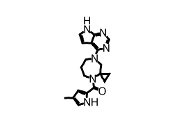 Cc1c[nH]c(C(=O)N2CCCN(c3ncnc4[nH]ccc34)CC23CC3)c1